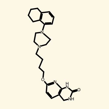 O=C1NCc2ccc(OCCCCN3CCN(c4cccc5c4CCCC5)CC3)nc2N1